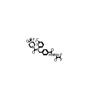 O=C(NNC(=O)C(F)F)c1ccc(CN(C(=O)N2CCS(=O)(=O)CC2)c2cccc(C(F)(F)F)n2)cc1